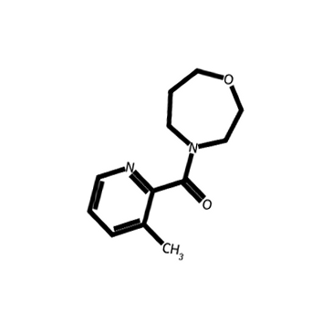 Cc1cccnc1C(=O)N1CCCOCC1